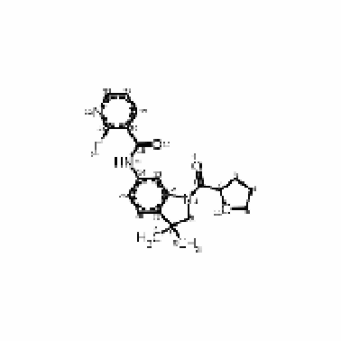 CC1(C)CN(C(=O)C2CCCO2)c2cc(NC(=O)c3cccnc3F)ccc21